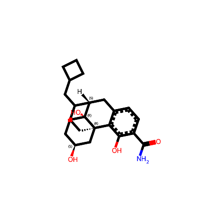 NC(=O)c1ccc2c(c1O)[C@]13CCC(CC4CCC4)[C@H](C2)[C@]1(O)CC[C@H](O)C3